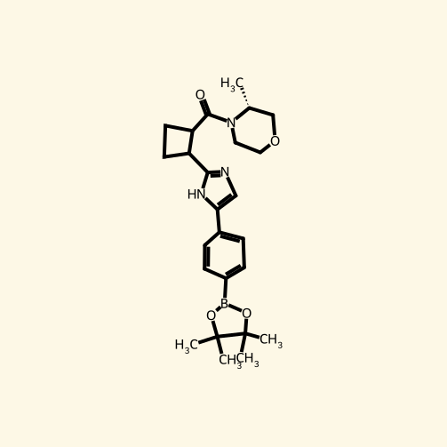 C[C@@H]1COCCN1C(=O)C1CCC1c1ncc(-c2ccc(B3OC(C)(C)C(C)(C)O3)cc2)[nH]1